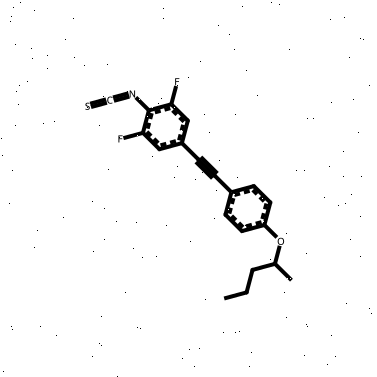 CCCC(C)Oc1ccc(C#Cc2cc(F)c(N=C=S)c(F)c2)cc1